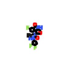 CC(C)CN(C(=O)Nc1ccc(F)c(F)c1)[C@H]1COCc2[nH]c(=O)c3cc(F)ccc3c21